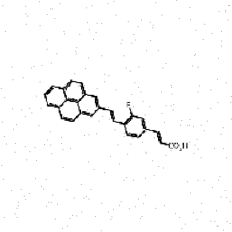 O=C(O)C=Cc1ccc(C=Cc2cc3ccc4cccc5ccc(c2)c3c45)c(F)c1